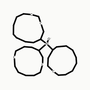 [O-][N+](C1CCCCCCCCCCC1)(C1CCCCCCCCCCC1)C1CCCCCCCCCCC1